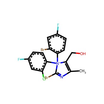 CC1=C(CO)[N+](c2ccc(F)cc2Cl)(c2ccc(F)cc2Br)C(Br)=N1